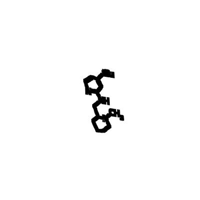 CN1CCCCC1CNc1cc(C(C)(C)C)ccn1